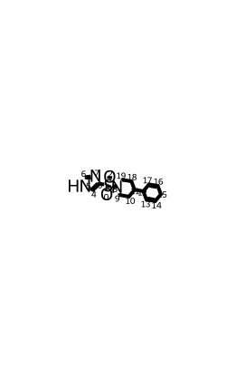 O=S(=O)(c1c[nH]cn1)N1CCC(C2C=CCC=C2)CC1